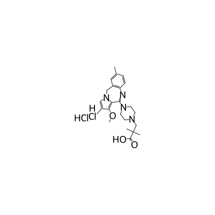 COc1c(C)cn2c1C(N1CCN(CC(C)(C)C(=O)O)CC1)=Nc1ccc(C)cc1C2.Cl.Cl